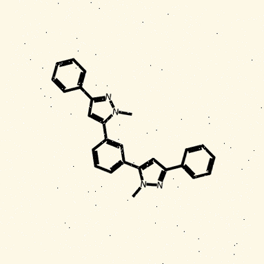 Cn1nc(-c2ccccc2)cc1-c1cccc(-c2cc(-c3ccccc3)nn2C)c1